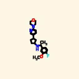 COc1cc([C@@H](C)NC2CCC(c3ccc(N4CCOCC4)nc3)C2)ccc1F